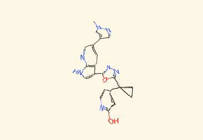 Cn1cc(-c2cnc3[nH]cc(-c4nnc(C5(c6ccnc(O)c6)CC5)o4)c3c2)cn1